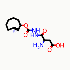 NC(CC(=O)O)C(=O)NNC(=O)OC1/C=C/CCCCC1